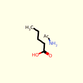 CC(N)=O.CCCCC(=O)O